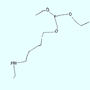 CCOP(OC)OCCCCNC